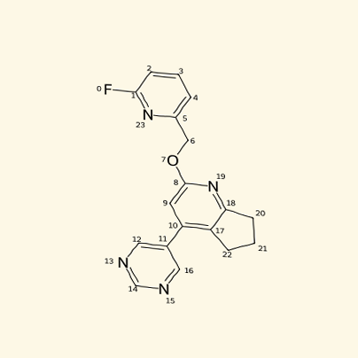 Fc1cccc(COc2cc(-c3cncnc3)c3c(n2)CCC3)n1